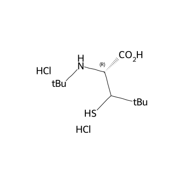 CC(C)(C)N[C@H](C(=O)O)C(S)C(C)(C)C.Cl.Cl